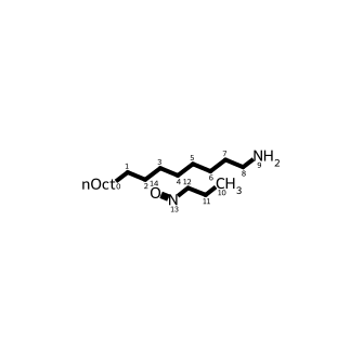 CCCCCCCCCCCCCCCCN.CCCN=O